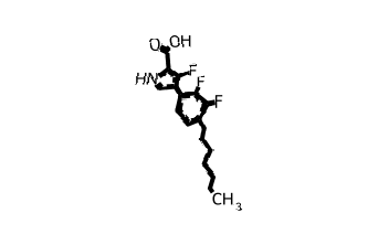 CCCCCCCc1ccc(-c2c[nH]c(C(=O)O)c2F)c(F)c1F